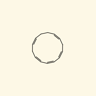 [CH]1C=CC=CC=CCC=CCCC=C1